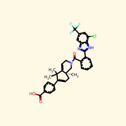 CC1(C)C(c2ccc(C(=O)O)cc2)=CC[C@]2(C)CN(C(=O)c3ccccc3-c3nc4cc(C(F)(F)F)cc(Cl)c4[nH]3)CC=C12